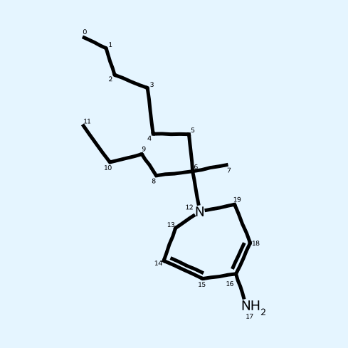 CCCCCCC(C)(CCCC)N1CC=CC(N)=CC1